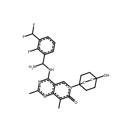 Cc1nc(NC(N)c2cccc(C(F)F)c2F)c2cn(C34CCC(O)(CC3)CC4)c(=O)c(C)c2n1